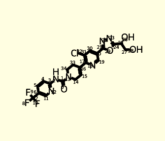 O=C(Nc1ccc(C(F)(F)F)cn1)N1CC=C(c2ncc(-c3nnc([C@H](O)CO)o3)cc2Cl)CC1